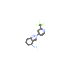 N[C@H]1CCCc2nn(-c3ccnc(C(F)(F)F)c3)cc21